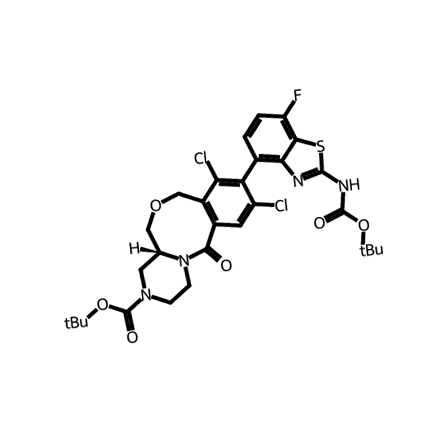 CC(C)(C)OC(=O)Nc1nc2c(-c3c(Cl)cc4c(c3Cl)COC[C@H]3CN(C(=O)OC(C)(C)C)CCN3C4=O)ccc(F)c2s1